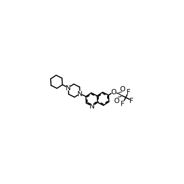 O=S(=O)(Oc1ccc2ncc(N3CCN(C4CCCCC4)CC3)cc2c1)C(F)(F)F